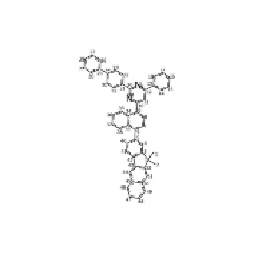 CC1(C)c2cc(-c3ccc(-c4cc(-c5ccccc5)nc(-c5ccc(-c6ccccc6)cc5)n4)c4ccccc34)ccc2-c2cc3ccccc3cc21